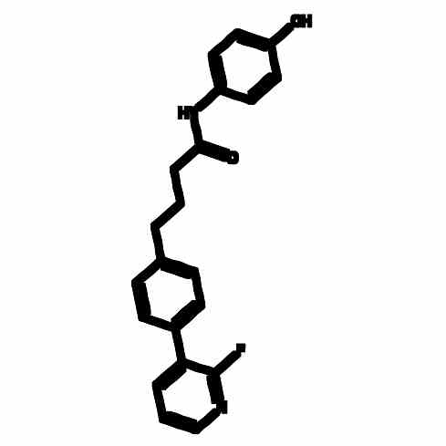 O=C(CCCc1ccc(-c2cccnc2F)cc1)Nc1ccc(O)cc1